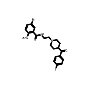 COc1ccc(Br)cc1C(=O)NCCN1CCC(C(=O)c2ccc(F)cc2)CC1